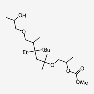 CCC(CC(C)(C)OCC(C)OC(=O)OC)(C(C)COCC(C)O)C(C)(C)C